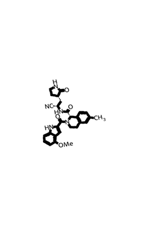 COc1cccc2[nH]c(C(=O)N3CCc4cc(C)ccc4[C@H]3C(=O)N[C@H](C#N)C[C@@H]3CCNC3=O)cc12